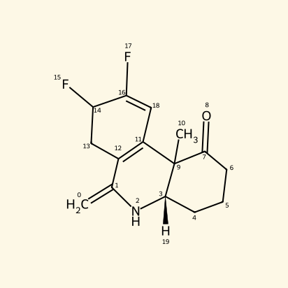 C=C1N[C@H]2CCCC(=O)C2(C)C2=C1CC(F)C(F)=C2